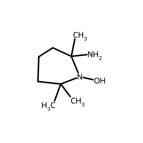 CC1(C)CCCC(C)(N)N1O